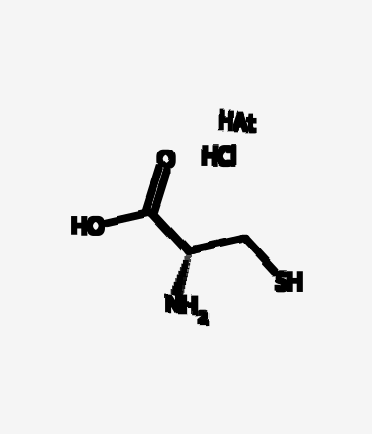 Cl.N[C@@H](CS)C(=O)O.[AtH]